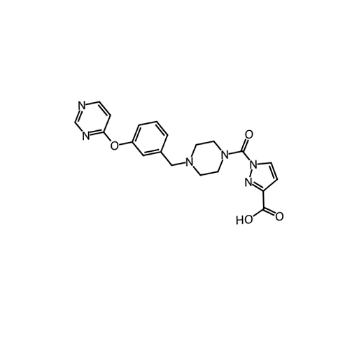 O=C(O)c1ccn(C(=O)N2CCN(Cc3cccc(Oc4ccncn4)c3)CC2)n1